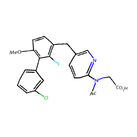 COc1ccc(Cc2ccc(N(CC(=O)O)C(C)=O)nc2)c(F)c1-c1cccc(Cl)c1